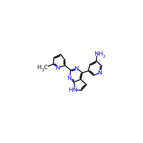 Cc1cccc(-c2nc(-c3cncc(N)c3)c3cc[nH]c3n2)n1